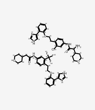 NC(C(=O)Nc1ccc(CCOc2ccccc2-c2c[nH]cn2)c(Cl)c1)C1CCOCC1.O=C(CC1CCOCC1)Nc1ccc(CCOc2ccccc2-c2c[nH]cn2)c(C(F)(F)F)c1